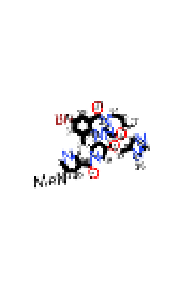 CNc1cncc(C(=O)N2C[C@H](Nc3c(C)cc(Br)cc3C(=O)N3CCO[C@H](C)CC3)[C@@H](OCc3cncn3C)C2)c1